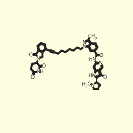 Cc1nn(CCCCCCCC#Cc2cccc3c2CN(C2CCC(=O)NC2=O)C3=O)c2cc(C(=O)Nc3cc4[nH]c([C@H]5CCCN5C)c(Cl)c4cn3)ccc12